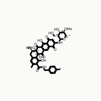 CO[C@@H]1[C@@H](O)[C@@H](CO)C(NC2=CC(=O)c3c(cc4c(c3O)C(=O)[C@]3(OC)[C@H](O)Cc5cc(C)c(C(=O)NCc6ccc(F)cc6)c(O)c5[C@]3(O)C4=O)C2=O)O[C@H]1C